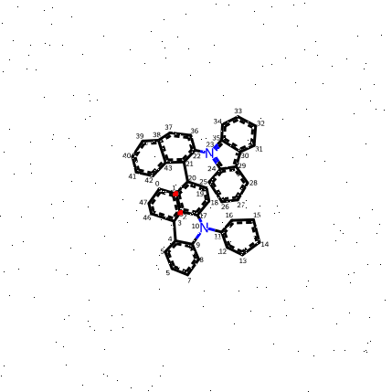 c1ccc(-c2ccccc2N(c2ccccc2)c2ccc(-c3c(-n4c5ccccc5c5ccccc54)ccc4ccccc34)cc2)cc1